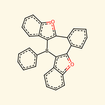 c1ccc(B2c3c(oc4ccccc34)-c3ccccc3-c3oc4ccccc4c32)cc1